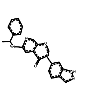 CC(Nc1cc2c(=O)c(-c3ccc4cn[nH]c4c3)coc2cn1)c1ccccc1